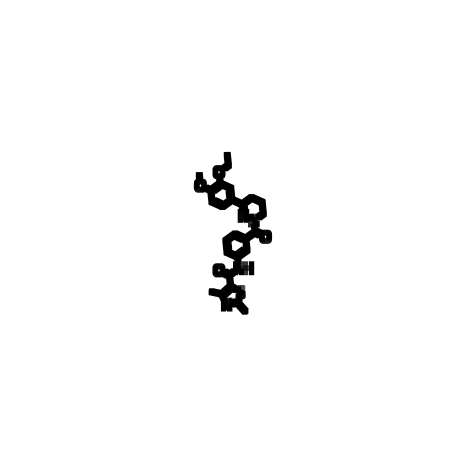 CCOc1cc(C2=NN(C(=O)c3cccc(NC(=O)c4sc(C)nc4C)c3)CCC2)ccc1OC